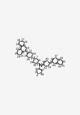 c1ccc(N(c2ccc(-c3ccc(-c4cc5ccccc5c5ccccc45)cc3)cc2)c2ccc(-c3ccc4ccccc4c3)cc2)cc1